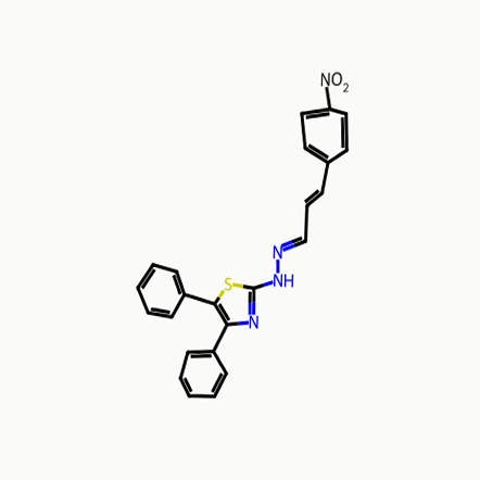 O=[N+]([O-])c1ccc(/C=C/C=N/Nc2nc(-c3ccccc3)c(-c3ccccc3)s2)cc1